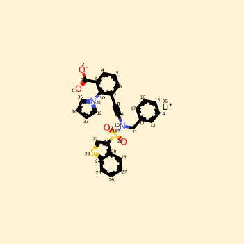 O=C([O-])c1cccc(C#CN(Cc2ccccc2)S(=O)(=O)c2csc3ccccc23)c1-n1cccc1.[Li+]